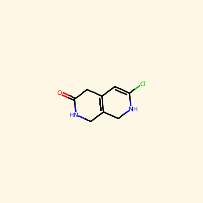 O=C1CC2=C(CN1)CNC(Cl)=C2